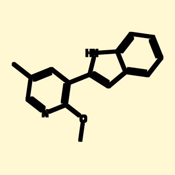 COc1ncc(C)cc1-c1cc2ccccc2[nH]1